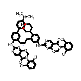 CN(C)c1ccc(-c2ccc(Nc3ncc4c(n3)OCN(c3c(Cl)cccc3Cl)C4=O)c(/C=C\Cc3cc(Nc4ncc5c(n4)OCN(c4c(Cl)cccc4Cl)C5=O)ccc3C3CCNCC3)c2)cc1